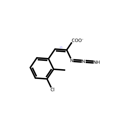 Cc1c(Cl)cccc1/C=C(\N=[N+]=N)C(=O)[O-]